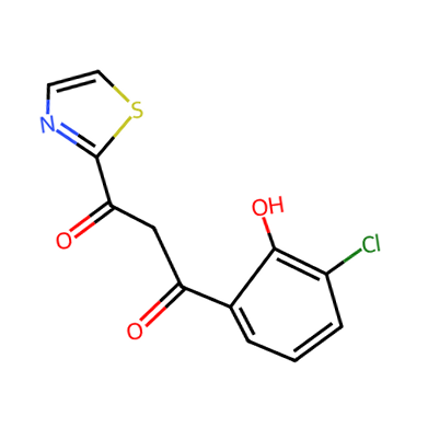 O=C(CC(=O)c1cccc(Cl)c1O)c1nccs1